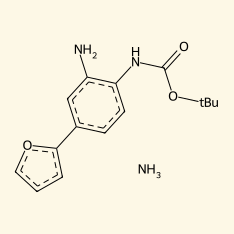 CC(C)(C)OC(=O)Nc1ccc(-c2ccco2)cc1N.N